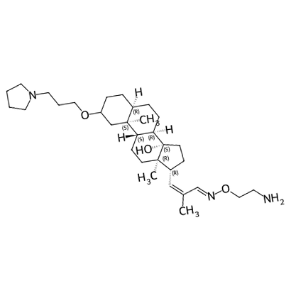 CC(C=NOCCN)=C[C@H]1CC[C@]2(O)[C@@H]3CC[C@@H]4CCC(OCCCN5CCCC5)C[C@]4(C)[C@H]3CC[C@]12C